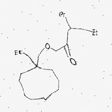 CCC(C(=O)OC1(CC)CCCCC1)C(C)C